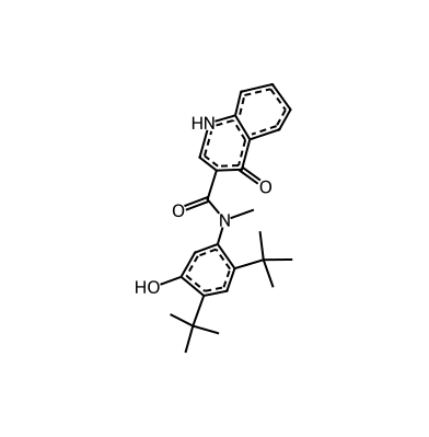 CN(C(=O)c1c[nH]c2ccccc2c1=O)c1cc(O)c(C(C)(C)C)cc1C(C)(C)C